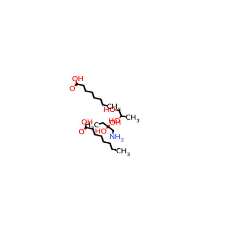 CC(O)CO.CCC(O)(O)CN.CCCCCCCC(=O)O.CCCCCCCC(=O)O